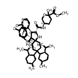 COC(=O)C1(C)CC[C@@H](NC(=O)[C@@H]2NC3(CCC(C4CC(C)CCC4C(C)C)(C4CC(C)CCC4C(C)C)CC3)[C@@]3(C(=O)Nc4cc(Cl)ccc43)[C@H]2c2ccnc(Cl)c2F)CO1